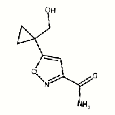 NC(=O)c1cc(C2(CO)CC2)on1